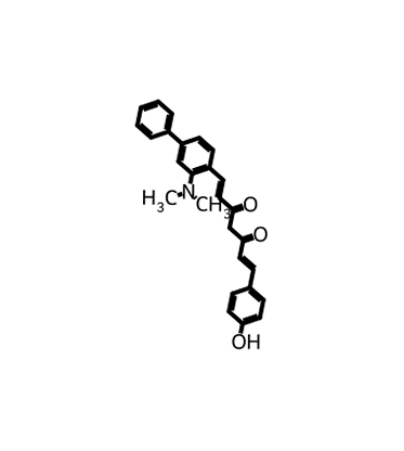 CN(C)c1cc(-c2ccccc2)ccc1/C=C/C(=O)CC(=O)/C=C/c1ccc(O)cc1